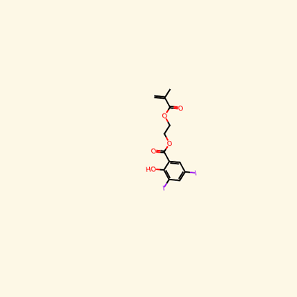 C=C(C)C(=O)OCCOC(=O)c1cc(I)cc(I)c1O